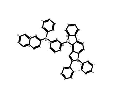 c1ccc(-c2cc3c(ccc4c5ccccc5n(-c5cccc(N(c6ccccc6)c6ccc7ccccc7c6)c5)c43)n2-c2ccccc2)cc1